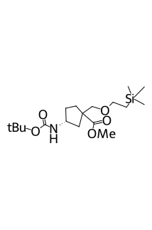 COC(=O)C1(COCC[Si](C)(C)C)CC[C@@H](NC(=O)OC(C)(C)C)C1